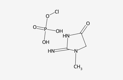 CN1CC(=O)NC1=N.O=P(O)(O)OCl